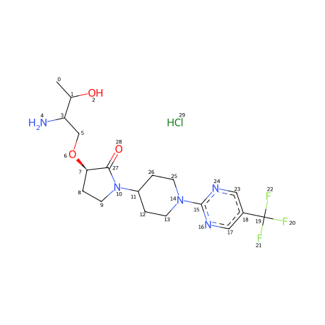 CC(O)C(N)CO[C@@H]1CCN(C2CCN(c3ncc(C(F)(F)F)cn3)CC2)C1=O.Cl